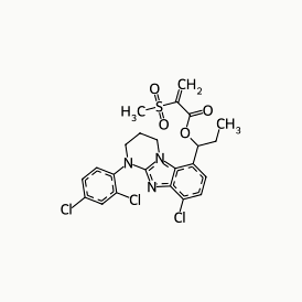 C=C(C(=O)OC(CC)c1ccc(Cl)c2nc3n(c12)CCCN3c1ccc(Cl)cc1Cl)S(C)(=O)=O